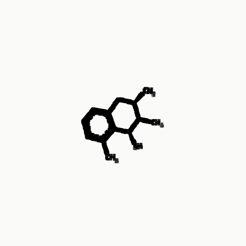 Cc1cccc2c1[C@H](S)C(C)[C@H](C)C2